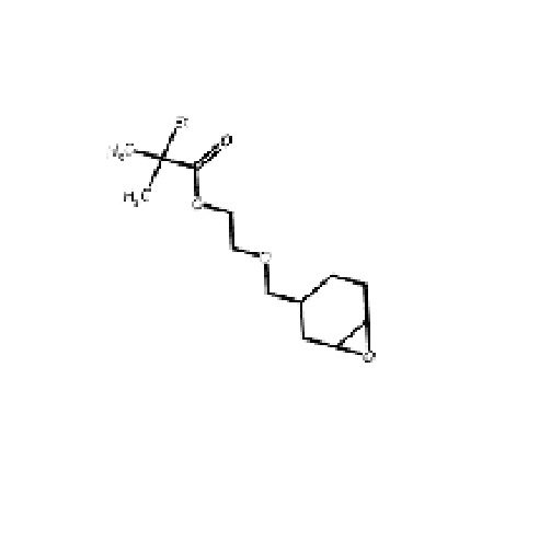 CCC(C)(C)C(=O)OCCOCC1CCC2OC2C1